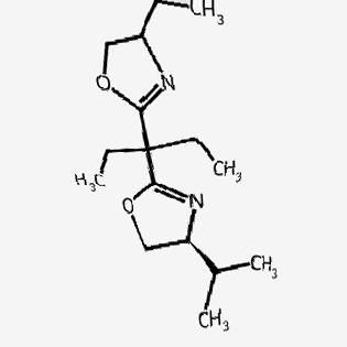 CCC1COC(C(CC)(CC)C2=N[C@@H](C(C)C)CO2)=N1